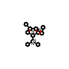 c1ccc(-c2ccc3c(c2)c2ccc(-n4c5ccccc5c5ccccc54)cc2n3-c2c(-c3ccccc3)cc(-c3cc(-c4ccccc4)nc(-c4ccccc4)n3)cc2-c2ccccc2)cc1